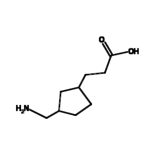 NCC1CCC(CCC(=O)O)C1